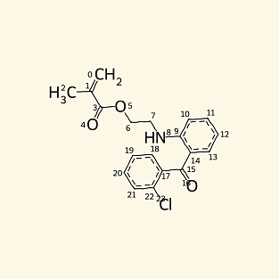 C=C(C)C(=O)OCCNc1ccccc1C(=O)c1ccccc1Cl